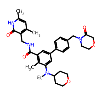 CCN(c1cc(-c2ccc(CN3CCOCC3=O)cc2)cc(C(=O)NCc2c(C)cc(C)[nH]c2=O)c1C)C1CCOCC1